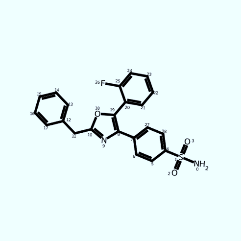 NS(=O)(=O)c1ccc(-c2nc(Cc3ccccc3)oc2-c2ccccc2F)cc1